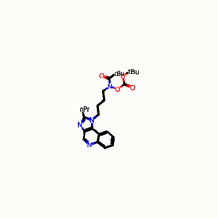 CCCc1nc2cnc3ccccc3c2n1CCCCN(OC(=O)OC(C)(C)C)C(=O)C(C)(C)C